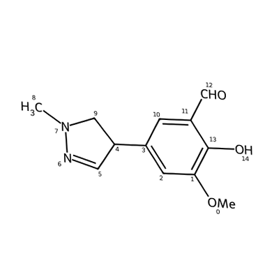 COc1cc(C2C=NN(C)C2)cc(C=O)c1O